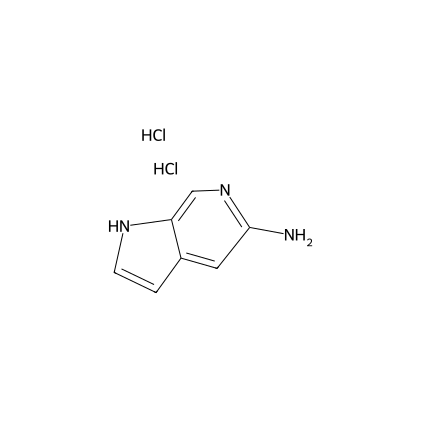 Cl.Cl.Nc1cc2cc[nH]c2cn1